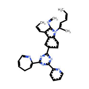 C=Nc1c(/C=C\C)c2cc(-c3nc(C4=CCC=CC=N4)nc(-c4ccccn4)n3)ccc2n1/C(C)=C/C=C\C